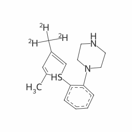 [2H]C([2H])([2H])C1=C[SH](c2ccccc2N2CCNCC2)C(C)=C1